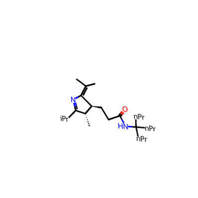 CCCC(CCC)(CCC)NC(=O)CC[C@@H]1C(=C(C)C)N=C(C(C)C)[C@H]1C